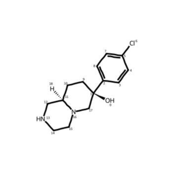 O[C@]1(c2ccc(Cl)cc2)CC[C@@H]2CNCCN2C1